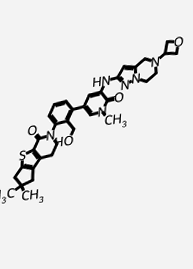 Cn1cc(-c2cccc(N3CCc4c(sc5c4CC(C)(C)C5)C3=O)c2CO)cc(Nc2cc3n(n2)CCN(C2COC2)C3)c1=O